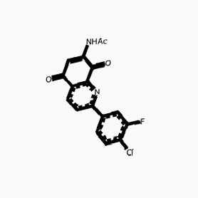 CC(=O)NC1=CC(=O)c2ccc(-c3ccc(Cl)c(F)c3)nc2C1=O